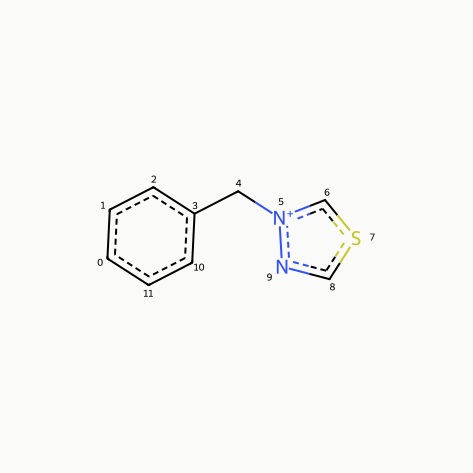 c1ccc(C[n+]2cscn2)cc1